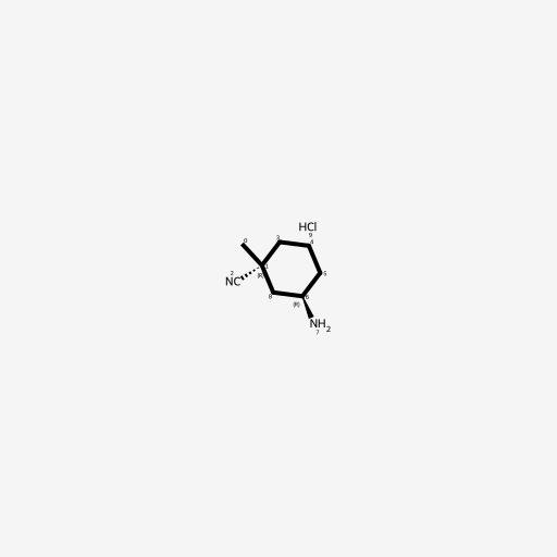 C[C@@]1(C#N)CCC[C@@H](N)C1.Cl